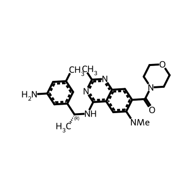 CNc1cc2c(N[C@H](C)c3cc(C)cc(N)c3)nc(C)nc2cc1C(=O)N1CCOCC1